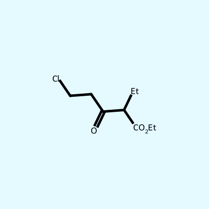 CCOC(=O)C(CC)C(=O)CCCl